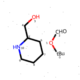 CC(C)(C)OC=O.OCC1CCCCN1